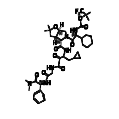 CN(C)C(=O)[C@@H](NC(=O)CNC(=O)C(=O)C(CC1CC1)NC(=O)[C@@H]1[C@H]2CC(C)(C)O[C@H]2CN1C(=O)[C@@H](NC(=O)OC(C)(C)C(F)(F)F)C1CCCCC1)c1ccccc1